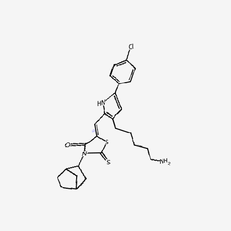 NCCCCCc1cc(-c2ccc(Cl)cc2)[nH]c1/C=C1\SC(=S)N(C2CC3CCC2C3)C1=O